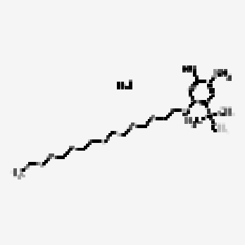 CCCCCCCCCCCCCCCCOc1cc(O)c(N)cc1C(C)(C)C.Cl